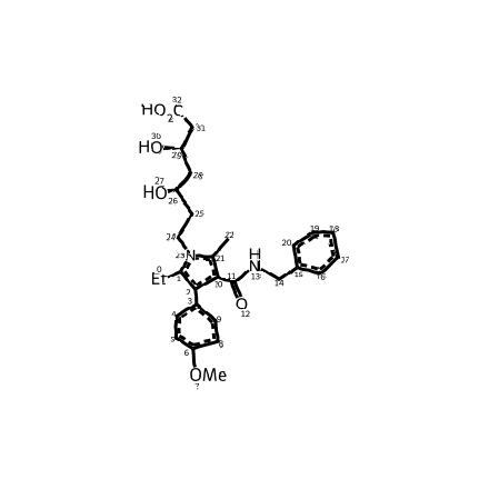 CCc1c(-c2ccc(OC)cc2)c(C(=O)NCc2ccccc2)c(C)n1CC[C@@H](O)C[C@@H](O)CC(=O)O